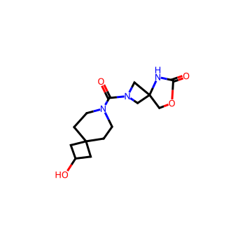 O=C1NC2(CO1)CN(C(=O)N1CCC3(CC1)CC(O)C3)C2